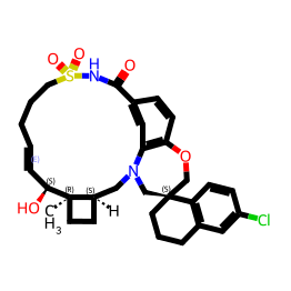 C[C@@]12CC[C@@H]1CN1C[C@@]3(CCCc4cc(Cl)ccc43)COc3ccc(cc31)C(=O)NS(=O)(=O)CCC/C=C/[C@@H]2O